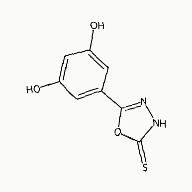 Oc1cc(O)cc(-c2n[nH]c(=S)o2)c1